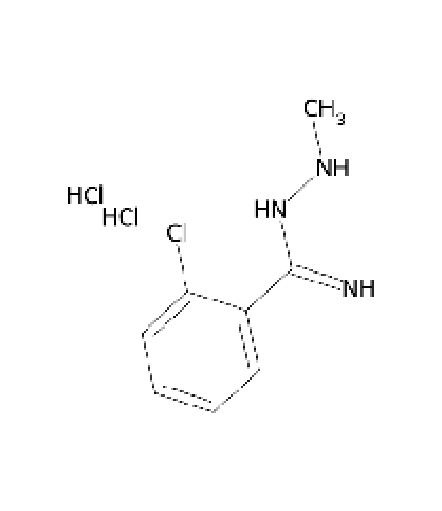 CNNC(=N)c1ccccc1Cl.Cl.Cl